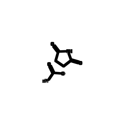 CCCC([O])=O.O=C1CCC(=O)N1